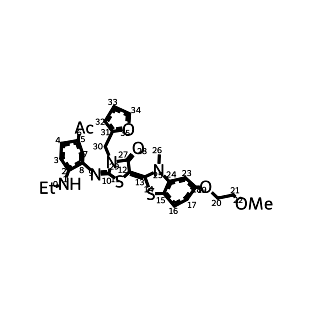 CCNc1ccc(C(C)=O)cc1/N=C1/S/C(=C2\Sc3ccc(OCCOC)cc3N2C)C(=O)N1Cc1ccco1